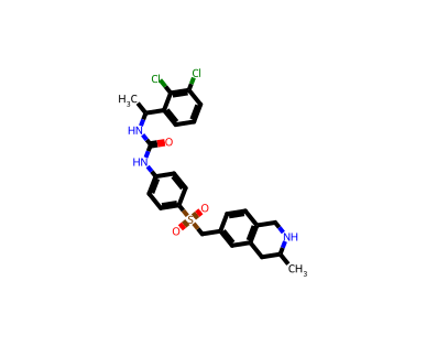 CC1Cc2cc(CS(=O)(=O)c3ccc(NC(=O)NC(C)c4cccc(Cl)c4Cl)cc3)ccc2CN1